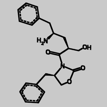 N[C@@H](Cc1ccccc1)C[C@@H](CO)C(=O)N1C(=O)OC[C@H]1Cc1ccccc1